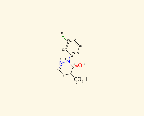 O=C(O)C1CC=NN(c2cccc(F)c2)C1=O